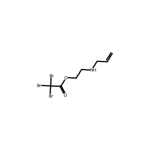 C=CCNCCOC(=O)C(Br)(Br)Br